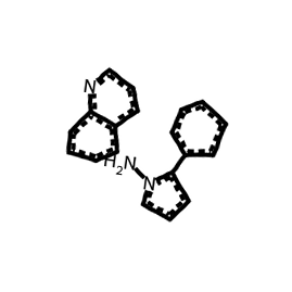 Nn1cccc1-c1ccccc1.c1ccc2ncccc2c1